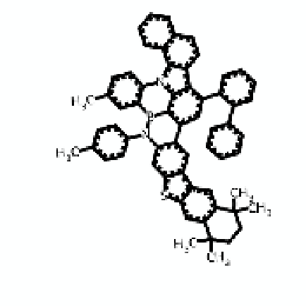 Cc1ccc(N2B3c4cc(C)ccc4-n4c5c3c(cc(-c3ccccc3-c3ccccc3)c5c3ccc5ccccc5c34)-c3cc4c(cc32)sc2cc3c(cc24)C(C)(C)CCC3(C)C)cc1